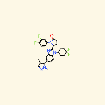 Cc1cnn(C)c1-c1ccc2c(c1)nc(C1CCC(=O)N1c1ccc(F)c(F)c1)n2C1CCC(F)(F)CC1